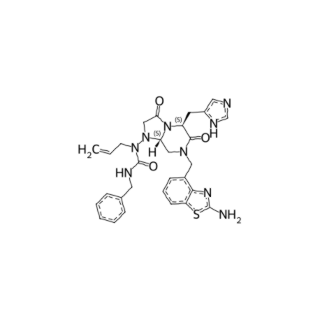 C=CCN(C(=O)NCc1ccccc1)N1CC(=O)N2[C@@H](Cc3cnc[nH]3)C(=O)N(Cc3cccc4sc(N)nc34)C[C@@H]21